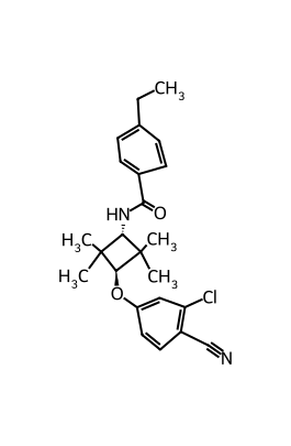 CCc1ccc(C(=O)N[C@H]2C(C)(C)[C@H](Oc3ccc(C#N)c(Cl)c3)C2(C)C)cc1